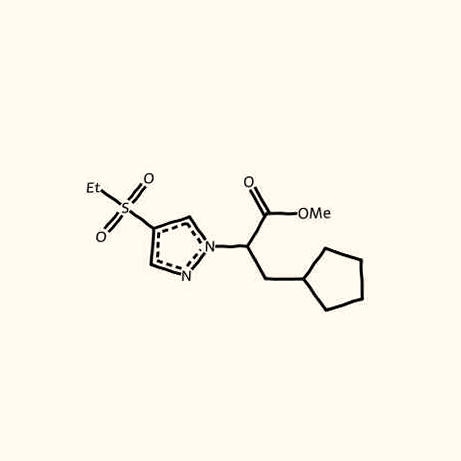 CCS(=O)(=O)c1cnn(C(CC2CCCC2)C(=O)OC)c1